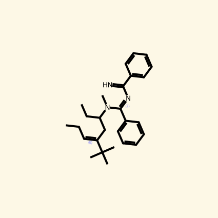 CC/C=C(\CC(CC)N(C)/C(=N\C(=N)c1ccccc1)c1ccccc1)C(C)(C)C